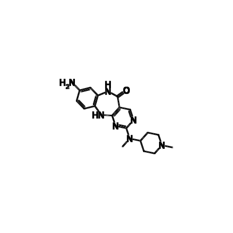 CN1CCC(N(C)c2ncc3c(n2)Nc2ccc(N)cc2NC3=O)CC1